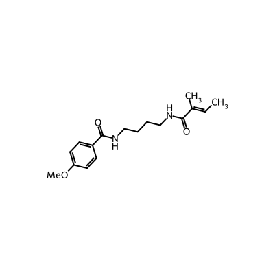 C/C=C(\C)C(=O)NCCCCNC(=O)c1ccc(OC)cc1